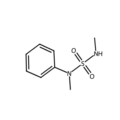 CNS(=O)(=O)N(C)c1ccccc1